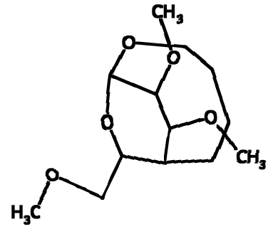 COCC1OC2OCCCCC1C(OC)C2OC